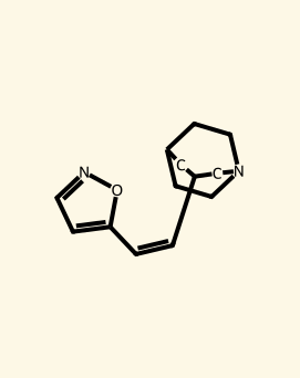 C(=C/C1CC2CCN(CC2)C1)/c1ccno1